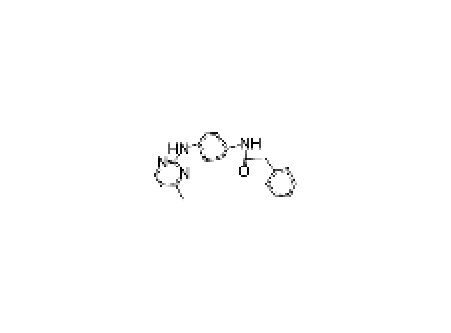 Cc1ccnc(Nc2ccc(NC(=O)Cc3ccccc3)cc2)n1